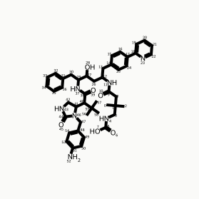 CC(C)(CNC(=O)O)CC(=O)NC(Cc1ccc(-c2ccccn2)cc1)CC(O)C(Cc1ccccc1)NC(=O)C(C1CNC(=O)N1Cc1ccc(N)cc1)C(C)(C)C